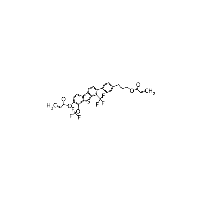 C=CC(=O)OCCCc1ccc(-c2ccc3c(sc4c(OC(F)(F)F)c(OC(=O)C=C)ccc43)c2C(F)(F)F)cc1